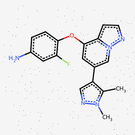 Cc1c(-c2cc(Oc3ccc(N)cc3F)c3ccnn3c2)cnn1C